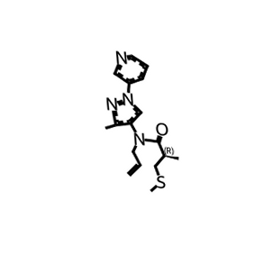 C=CCN(C(=O)[C@@H](C)CSC)c1cn(-c2cccnc2)nc1C